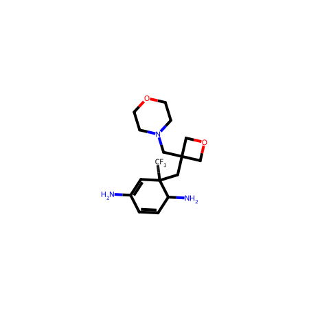 NC1=CC(CC2(CN3CCOCC3)COC2)(C(F)(F)F)C(N)C=C1